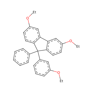 CCOc1cccc(C2(c3ccccc3)c3ccc(OCC)cc3-c3cc(OCC)ccc32)c1